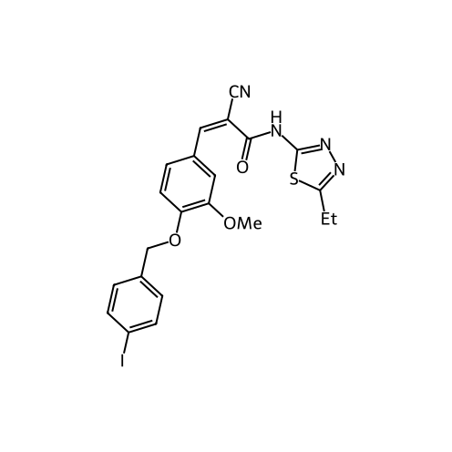 CCc1nnc(NC(=O)C(C#N)=Cc2ccc(OCc3ccc(I)cc3)c(OC)c2)s1